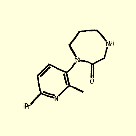 Cc1nc(C(C)C)ccc1N1CCCNCC1=O